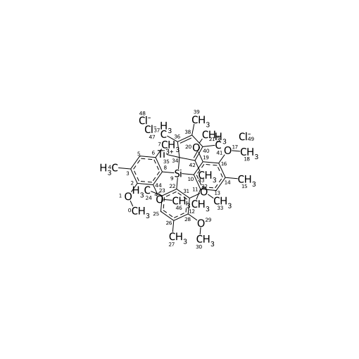 COc1c(C)cc(C)c([Si](c2c(C)cc(C)c(OC)c2OC)(c2c(C)cc(C)c(OC)c2OC)[C]2([Ti+3])C(C)=C(C)C(C)=C2C)c1OC.[Cl-].[Cl-].[Cl-]